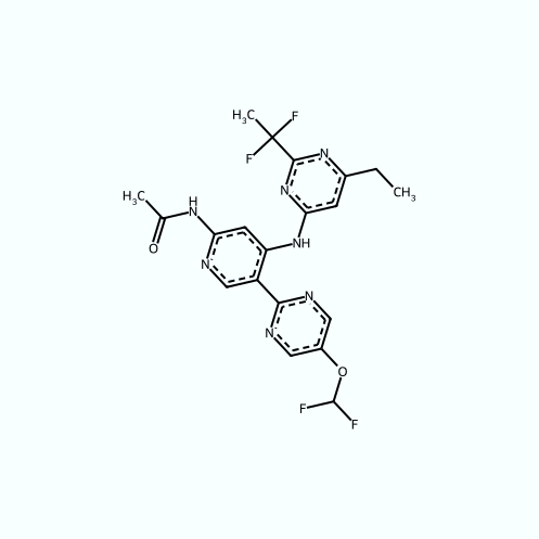 CCc1cc(Nc2cc(NC(C)=O)ncc2-c2ncc(OC(F)F)cn2)nc(C(C)(F)F)n1